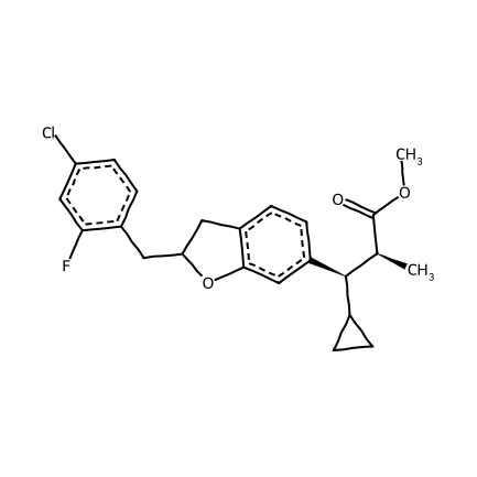 COC(=O)[C@@H](C)[C@H](c1ccc2c(c1)OC(Cc1ccc(Cl)cc1F)C2)C1CC1